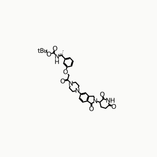 C[C@@H](NC(=O)OC(C)(C)C)c1cccc(OCC(=O)N2CCN(c3ccc4c(c3)CN(C3CCC(=O)NC3=O)C4=O)CC2)c1